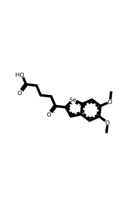 COc1cc2cc(C(=O)CCCC(=O)O)[se]c2cc1OC